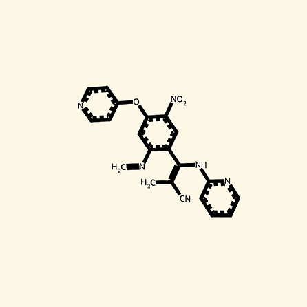 C=Nc1cc(Oc2ccncc2)c([N+](=O)[O-])cc1/C(Nc1ccccn1)=C(\C)C#N